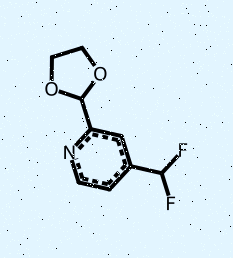 FC(F)c1ccnc(C2OCCO2)c1